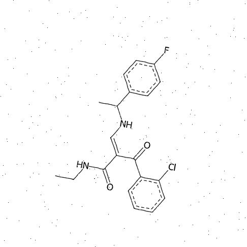 CCNC(=O)/C(=C/NC(C)c1ccc(F)cc1)C(=O)c1ccccc1Cl